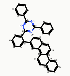 c1ccc(-c2nc(-c3ccccc3)nc(-c3ccccc3-c3ccc4ccc5c6ccccc6ccc5c4c3)n2)cc1